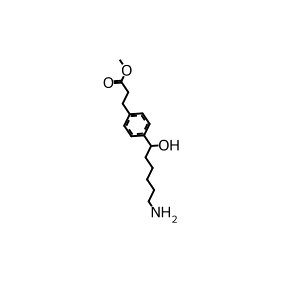 COC(=O)CCc1ccc(C(O)CCCCCN)cc1